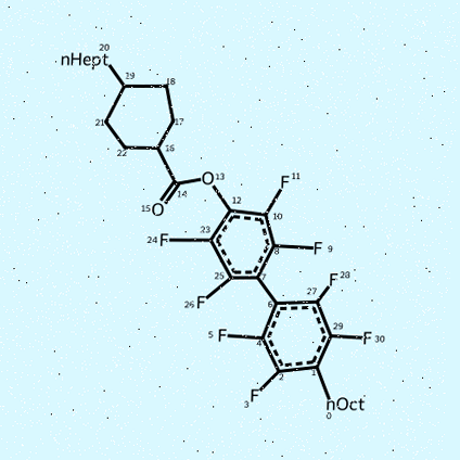 CCCCCCCCc1c(F)c(F)c(-c2c(F)c(F)c(OC(=O)C3CCC(CCCCCCC)CC3)c(F)c2F)c(F)c1F